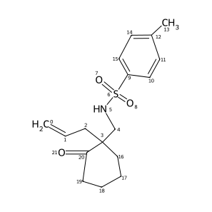 C=CCC1(CNS(=O)(=O)c2ccc(C)cc2)CCCCC1=O